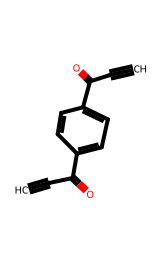 C#CC(=O)c1ccc(C(=O)C#C)cc1